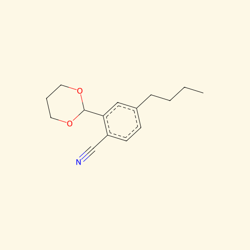 CCCCc1ccc(C#N)c(C2OCCCO2)c1